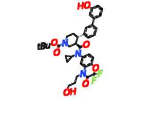 CC(C)(C)OC(=O)N1CC[C@H](c2cccc(-c3cccc(O)c3)c2)[C@@H](C(=O)N(c2ccc3c(c2)N(CCCO)C(=O)C(F)(F)O3)C2CC2)C1